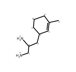 CC1=CC(CC(N)CN)CCC1